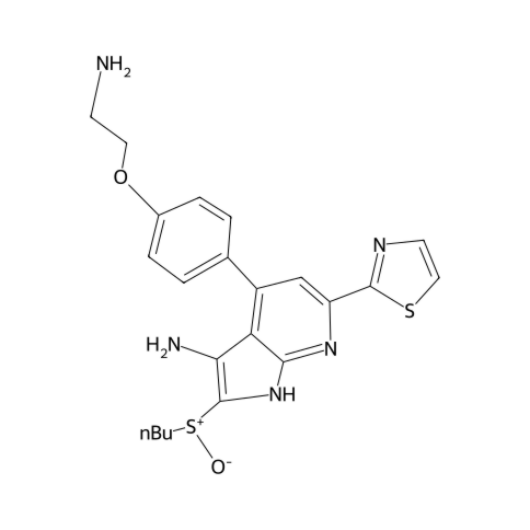 CCCC[S+]([O-])c1[nH]c2nc(-c3nccs3)cc(-c3ccc(OCCN)cc3)c2c1N